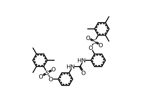 Cc1cc(C)c(S(=O)(=O)Oc2cccc(NC(=O)Nc3ccccc3OS(=O)(=O)c3c(C)cc(C)cc3C)c2)c(C)c1